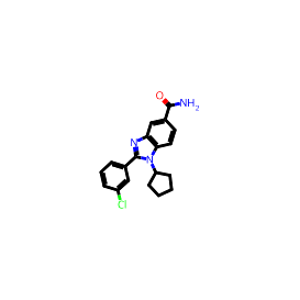 NC(=O)c1ccc2c(c1)nc(-c1cccc(Cl)c1)n2C1CCCC1